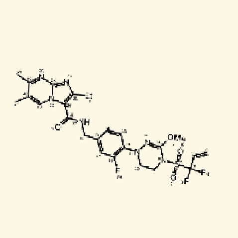 C=CC(F)(F)S(=O)(=O)N1CCN(c2ccc(CNC(=O)c3c(CC)nc4nc(C)c(C)cn34)cc2F)N=C1OC